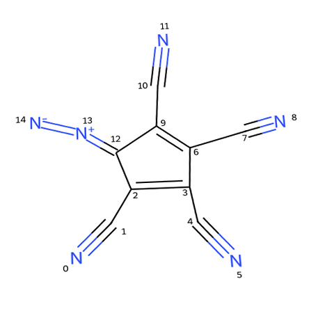 N#CC1=C(C#N)C(C#N)=C(C#N)C1=[N+]=[N-]